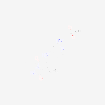 Cc1c2c(c(=O)n3c1C(=O)NC31CCCCC1)Nc1cc(NCCS(C)(=O)=O)ncc1C2